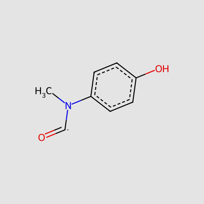 CN([C]=O)c1ccc(O)cc1